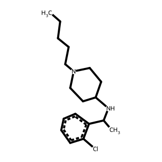 CCCCCN1CCC(NC(C)c2ccccc2Cl)CC1